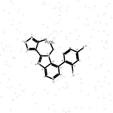 CCn1c(-c2nonc2N)nc2cncc(-c3ccc(F)cc3F)c21